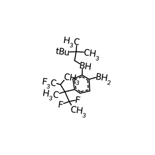 Bc1ccc(C(C)(C(C)C(F)(F)F)C(C)(F)F)cc1BCC(C)(C)C(C)(C)C